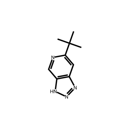 CC(C)(C)c1cc2nn[nH]c2cn1